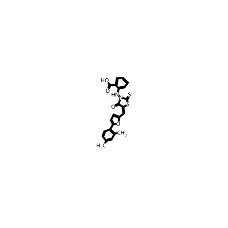 Cc1ccc(-c2ccc(/C=C3/SC(=S)N(Nc4ccccc4C(=O)O)C3=O)o2)c(C)c1